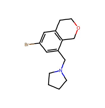 Brc1cc2c(c(CN3CCCC3)c1)COCC2